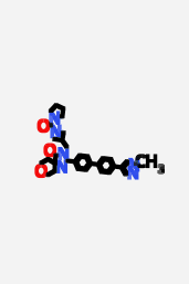 Cn1cc(-c2ccc(-c3ccc(C4=NC5(CCOCC5)C(=O)N4CC4CN(C(=O)N5CCCC5)C4)cc3)cc2)cn1